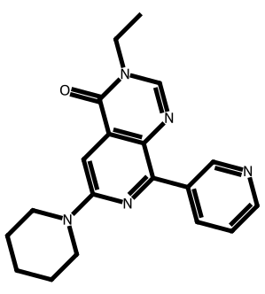 CCn1cnc2c(-c3cccnc3)nc(N3CCCCC3)cc2c1=O